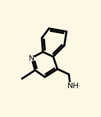 Cc1cc(C[NH])c2ccccc2n1